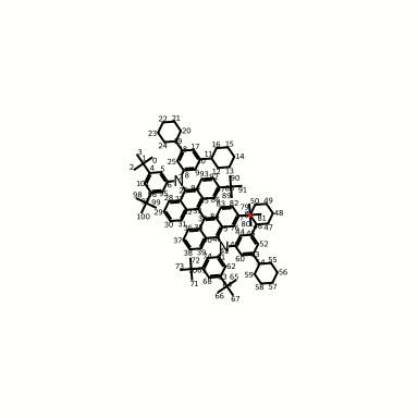 CC(C)(C)c1cc(N(c2cc(C3CCCCC3)cc(C3CCCCC3)c2)c2c3ccccc3c(-c3c4ccccc4c(N(c4cc(C5CCCCC5)cc(C5CCCCC5)c4)c4cc(C(C)(C)C)cc(C(C)(C)C)c4)c4cc(C(C)(C)C)ccc34)c3cc(C(C)(C)C)ccc23)cc(C(C)(C)C)c1